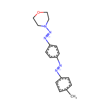 Cc1ccc(/N=N/c2ccc(/N=N/N3CCOCC3)cc2)cc1